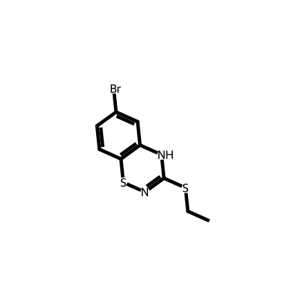 CCSC1=NSc2ccc(Br)cc2N1